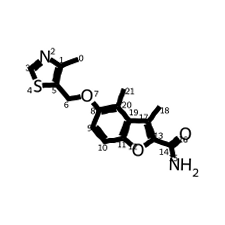 Cc1ncsc1COc1ccc2oc(C(N)=O)c(C)c2c1C